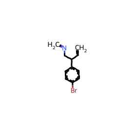 C=CC(CN=C)c1ccc(Br)cc1